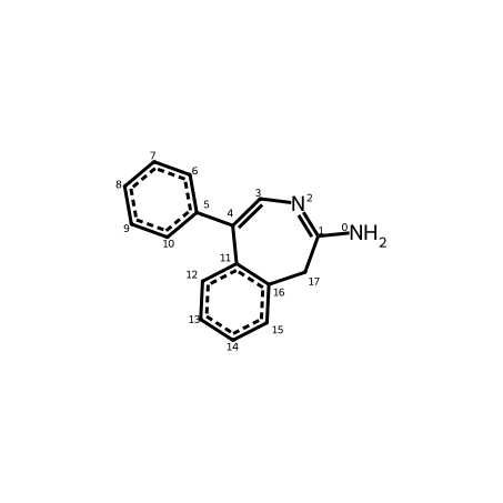 NC1=NC=C(c2ccccc2)c2ccccc2C1